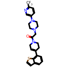 O=C(CN1CCN(c2ccc(C(F)(F)F)nc2)CC1)N1CC=C(c2cccc3ccsc23)CC1